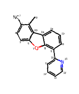 Cc1c(C#N)ccc2oc3c(-c4ccccn4)cccc3c12